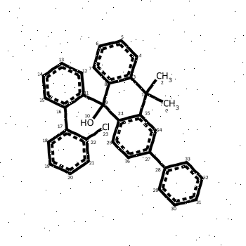 CC1(C)c2ccccc2C(O)(c2ccccc2-c2ccccc2Cl)c2ccc(-c3ccccc3)cc21